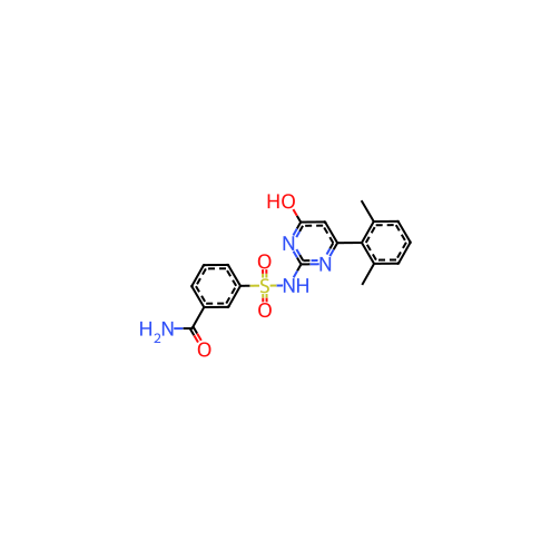 Cc1cccc(C)c1-c1cc(O)nc(NS(=O)(=O)c2cccc(C(N)=O)c2)n1